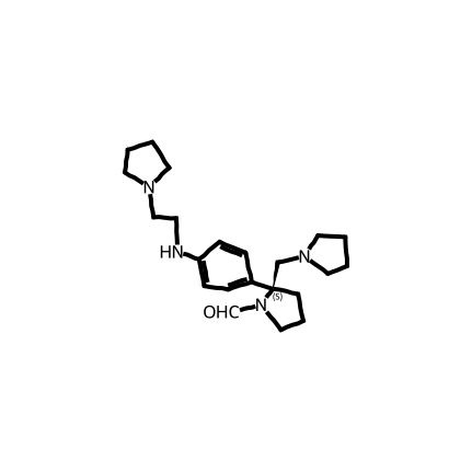 O=CN1CCC[C@@]1(CN1CCCC1)c1ccc(NCCN2CCCC2)cc1